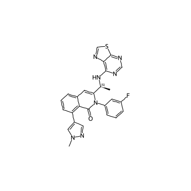 C[C@H](Nc1ncnc2scnc12)c1cc2cccc(-c3cnn(C)c3)c2c(=O)n1-c1cccc(F)c1